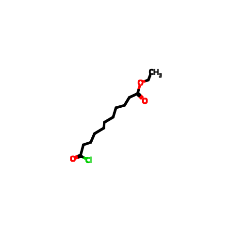 CCOC(=O)CCCCCCCCCC(=O)Cl